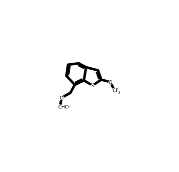 O=[C]OCc1cccc2cc(OC(F)(F)F)sc12